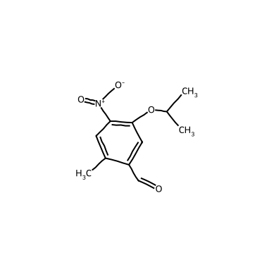 Cc1cc([N+](=O)[O-])c(OC(C)C)cc1C=O